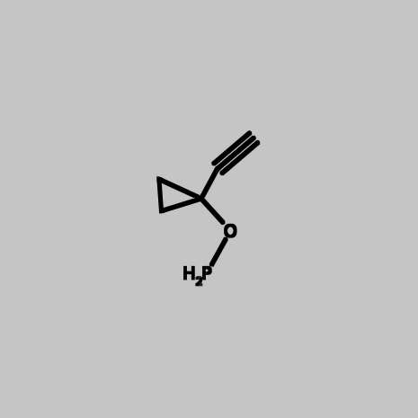 C#CC1(OP)CC1